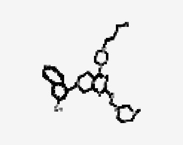 CN1CCC[C@@H](COc2nc3c(c(N4CCN(C=CC=O)CC4)n2)CCN(c2cc(O)cc4ccccc24)C3)C1